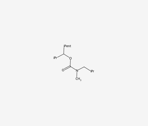 CCCC(C)C(OC(=O)N(C)CC(C)C)C(C)C